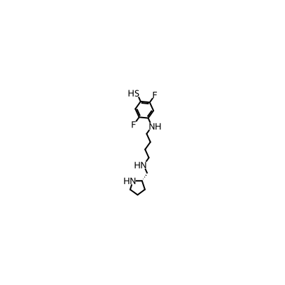 Fc1cc(NCCCCNC[C@@H]2CCCN2)c(F)cc1S